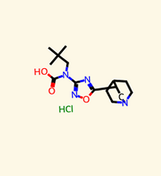 CC(C)(C)CN(C(=O)O)c1noc(C2CN3CCC2CC3)n1.Cl